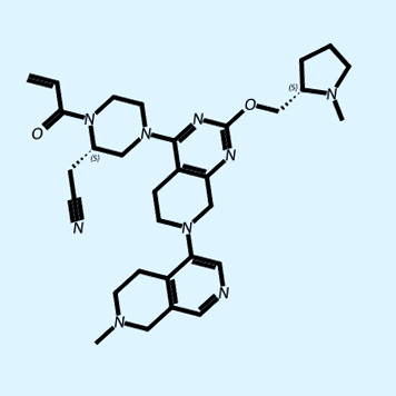 C=CC(=O)N1CCN(c2nc(OC[C@@H]3CCCN3C)nc3c2CCN(c2cncc4c2CCN(C)C4)C3)C[C@@H]1CC#N